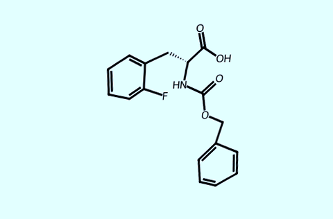 O=C(N[C@H](Cc1ccccc1F)C(=O)O)OCc1ccccc1